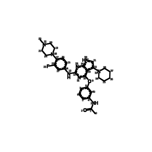 CC(=O)Nc1cccc(Oc2nc(Nc3ccc(N4CCN(C)CC4)c(F)c3)nc3[nH]cc(N4CCCCC4)c23)c1